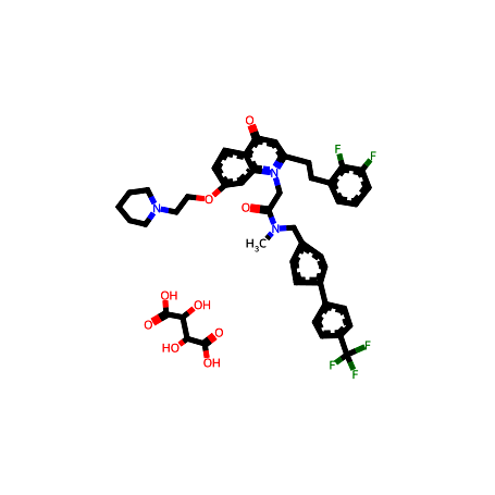 CN(Cc1ccc(-c2ccc(C(F)(F)F)cc2)cc1)C(=O)Cn1c(CCc2cccc(F)c2F)cc(=O)c2ccc(OCCN3CCCCC3)cc21.O=C(O)C(O)C(O)C(=O)O